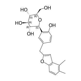 Cc1ccc2oc(Cc3ccc(O)c([C@@H]4O[C@H](CO)[C@@H](O)[C@H](O)[C@H]4O)c3)cc2c1C